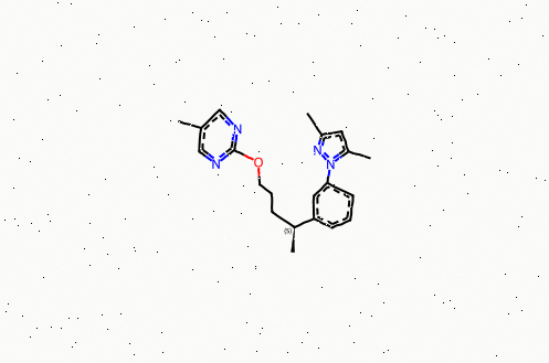 Cc1cnc(OCCC[C@H](C)c2cccc(-n3nc(C)cc3C)c2)nc1